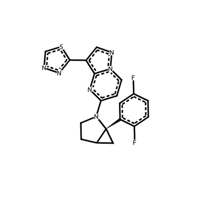 Fc1ccc(F)c([C@@]23CC2CCN3c2ccn3ncc(-c4nncs4)c3n2)c1